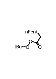 CCCCCCC(=O)OOC(C)(C)C